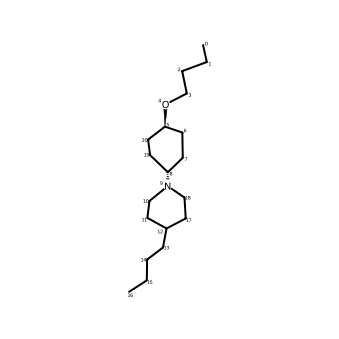 CCCCO[C@H]1CC[C@H](N2CCC(CCCC)CC2)CC1